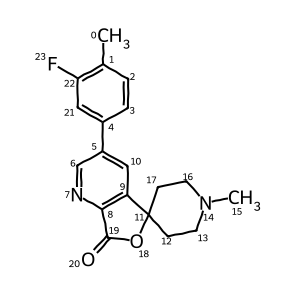 Cc1ccc(-c2cnc3c(c2)C2(CCN(C)CC2)OC3=O)cc1F